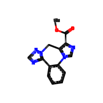 CC(C)(C)OC(=O)c1ncn2c1Cn1ncnc1-c1ccccc1-2